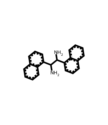 NC(c1cccc2ccccc12)C(N)c1cccc2ccccc12